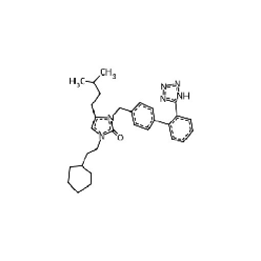 CC(C)CCc1cn(CCC2CCCCC2)c(=O)n1Cc1ccc(-c2ccccc2-c2nnn[nH]2)cc1